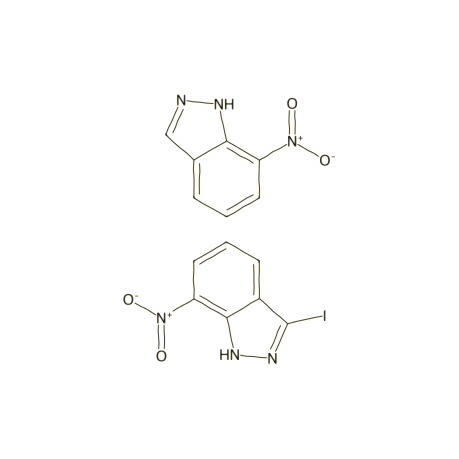 O=[N+]([O-])c1cccc2c(I)n[nH]c12.O=[N+]([O-])c1cccc2cn[nH]c12